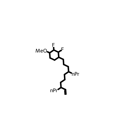 C=CC(CCC)CCCC(CCC)CCCC1CCC(OC)C(F)C1F